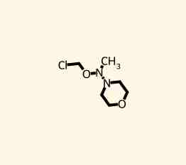 CN(OCCl)N1CCOCC1